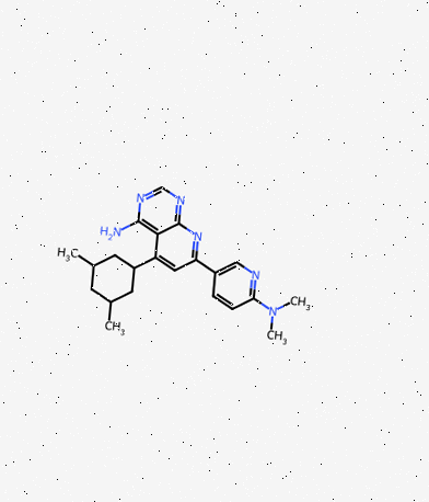 CC1CC(C)CC(c2cc(-c3ccc(N(C)C)nc3)nc3ncnc(N)c23)C1